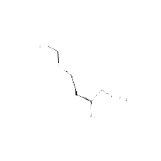 CC(C)CCCCC(C#N)CC#N